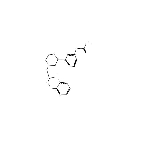 CC(=O)Oc1cccc([C@@H]2CCCN(CC3COc4ccccc4O3)C2)c1